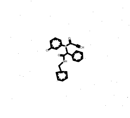 C#CC(=O)N(c1cccc(Cl)c1)C(C(=O)NCc1ccccc1)c1ccccc1